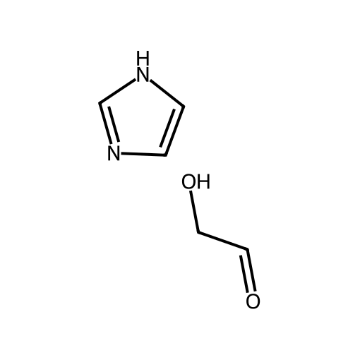 O=CCO.c1c[nH]cn1